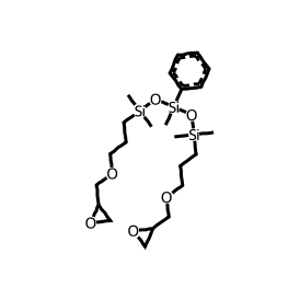 C[Si](C)(CCCOCC1CO1)O[Si](C)(O[Si](C)(C)CCCOCC1CO1)c1ccccc1